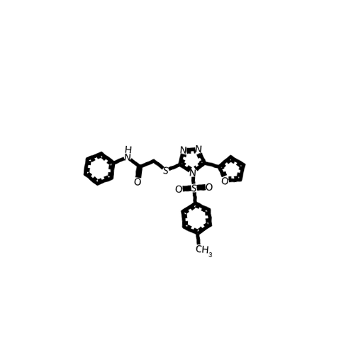 Cc1ccc(S(=O)(=O)n2c(SCC(=O)Nc3ccccc3)nnc2-c2ccco2)cc1